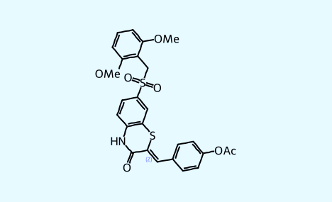 COc1cccc(OC)c1CS(=O)(=O)c1ccc2c(c1)S/C(=C\c1ccc(OC(C)=O)cc1)C(=O)N2